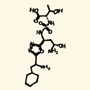 CC(O)[C@H](NS(=O)(=O)N[C@@H](CC(N)O)c1nnc([C@@H](N)CC2CCCCC2)o1)C(=O)O